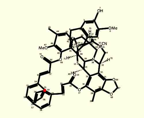 COc1cc2c(cc1O)CCN[C@]21CS[C@@H]2c3c(OC(=O)/C=C/c4ccccc4)c(C)c4c(c3[C@H](COC1=O)N1C2[C@H]2c3c(cc(C)c(OC)c3OC(=O)/C=C/c3ccccc3)C[C@@H]([C@@H]1C#N)N2C)OCO4